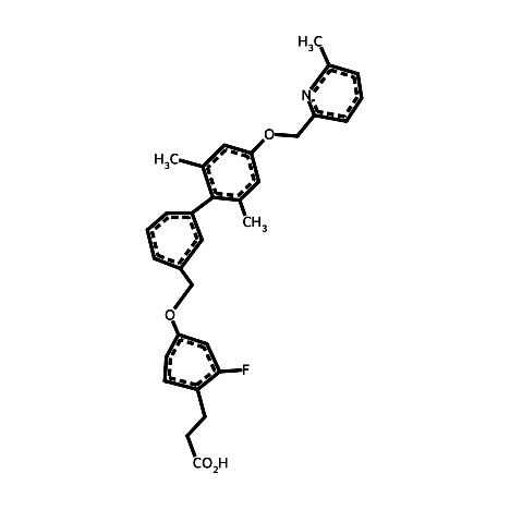 Cc1cccc(COc2cc(C)c(-c3cccc(COc4ccc(CCC(=O)O)c(F)c4)c3)c(C)c2)n1